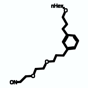 CCCCCCOCCCc1cccc(CCCOCCOCCN=O)c1